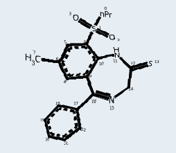 CCCS(=O)(=O)c1cc(C)cc2c1NC(=S)CN=C2c1ccccc1